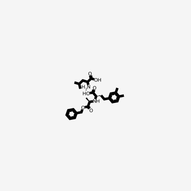 CC(C)CC(N)C(=O)O.Cc1ccc(CC[C@H](N[C@H](C)C(=O)OCc2ccccc2)C(=O)O)cc1C